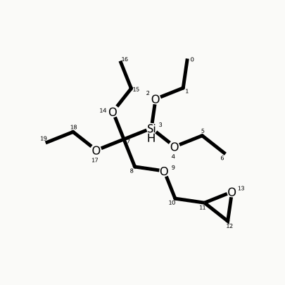 CCO[SiH](OCC)C(COCC1CO1)(OCC)OCC